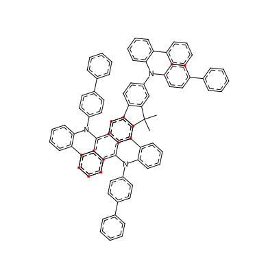 CC1(C)c2cc(N(c3ccc(-c4ccccc4)cc3)c3ccccc3-c3ccccc3)ccc2-c2cc3c(N(c4ccc(-c5ccccc5)cc4)c4ccccc4-c4ccccc4)c4ccccc4c(N(c4ccc(-c5ccccc5)cc4)c4ccccc4-c4ccccc4)c3cc21